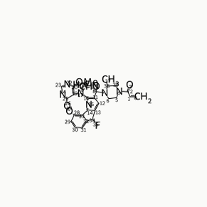 C=CC(=O)N1CCN(/C(=N/C)c2cc3c4nc2N(C=O)c2c(OC)ncnc2OOc2cccc(c2-4)C3F)C(C)C1